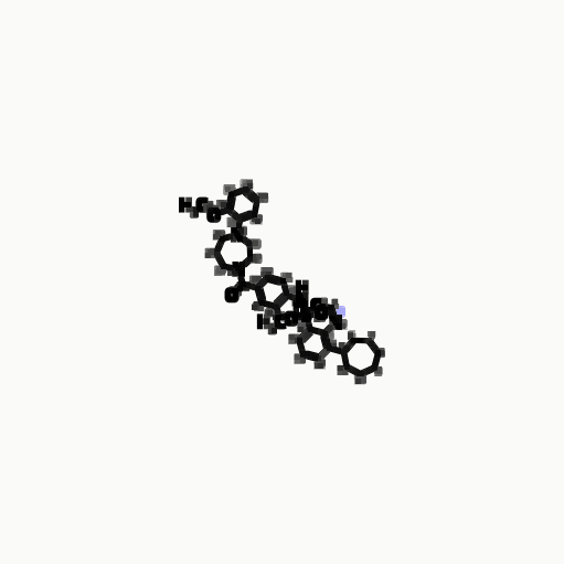 C/C=N\c1c(C2CCCCCC2)cccc1S(=O)(=O)Nc1ccc(C(=O)N2CCCN(c3ccccc3OC)CC2)cc1C